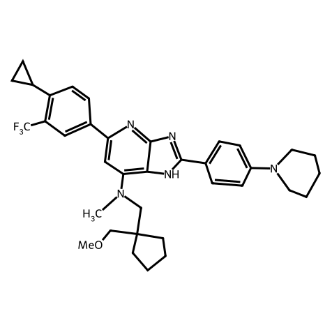 COCC1(CN(C)c2cc(-c3ccc(C4CC4)c(C(F)(F)F)c3)nc3nc(-c4ccc(N5CCCCC5)cc4)[nH]c23)CCCC1